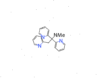 CNC(Cc1ccccn1)(c1ccccn1)c1ccccn1